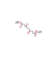 CCCOC(=O)CCC(=O)CCC(=O)CCC(=O)OCCC